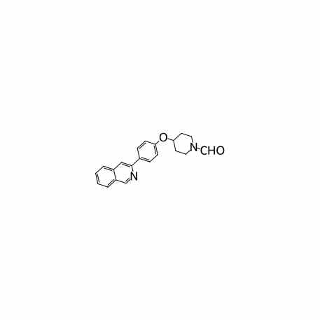 O=CN1CCC(Oc2ccc(-c3cc4ccccc4cn3)cc2)CC1